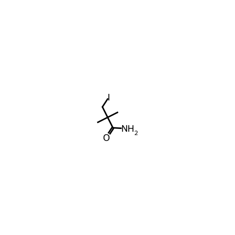 CC(C)(CI)C(N)=O